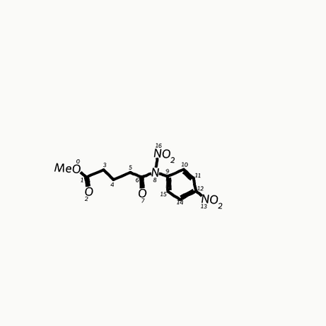 COC(=O)CCCC(=O)N(c1ccc([N+](=O)[O-])cc1)[N+](=O)[O-]